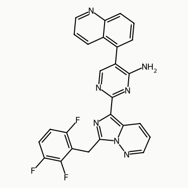 Nc1nc(-c2nc(Cc3c(F)ccc(F)c3F)n3ncccc23)ncc1-c1cccc2ncccc12